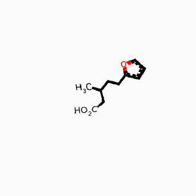 CC(CCc1ccco1)CC(=O)O